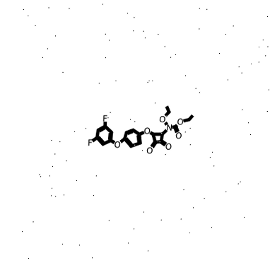 CCOC(=O)N(OCC)C1C(=O)C(=O)C1Oc1ccc(Oc2cc(F)cc(F)c2)cc1